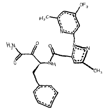 Cc1cc(C(F)(F)F)cc(-n2nc(C)cc2C(=O)N[C@@H](Cc2ccccc2)C(=O)C(N)=O)n1